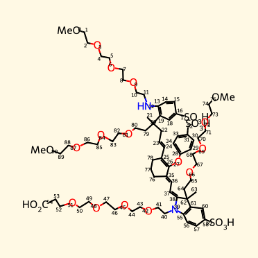 COCCOCCOCCOCCNc1ccc(S(=O)(=O)O)cc1C(C)(C/C=C/C1=C(Oc2ccc(S(=O)(=O)O)cc2)C(=C/C=C2/N(CCOCCOCCOCCOCCC(=O)O)c3ccc(S(=O)(=O)O)cc3C2(C)CCOCCOCCOCCOC)/CCC1)CCOCCOCCOCCOC